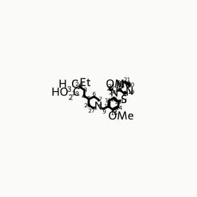 CCC(C)(CCC1CCN(Cc2cc3c(cc2OC)Sc2nccnc2N3COC)CC1)C(=O)O